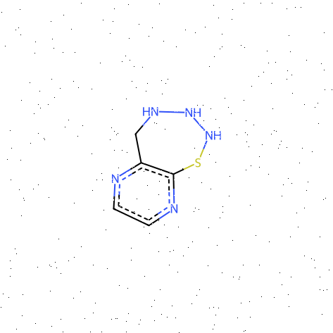 c1cnc2c(n1)CNNNS2